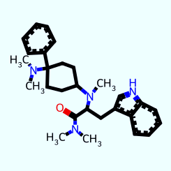 CN(C)C(=O)C(Cc1c[nH]c2ccccc12)N(C)C1CCC(c2ccccc2)(N(C)C)CC1